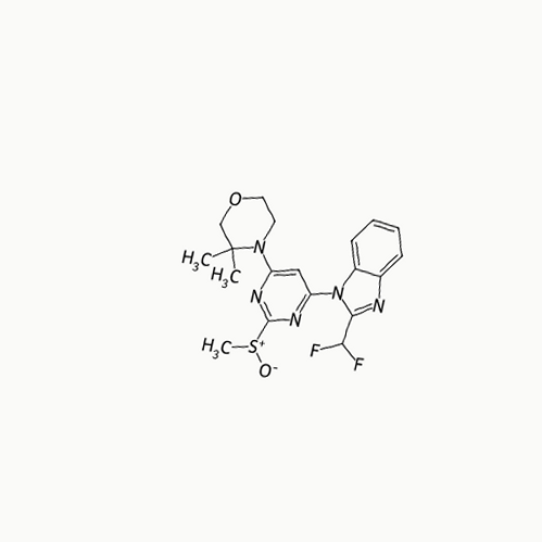 C[S+]([O-])c1nc(N2CCOCC2(C)C)cc(-n2c(C(F)F)nc3ccccc32)n1